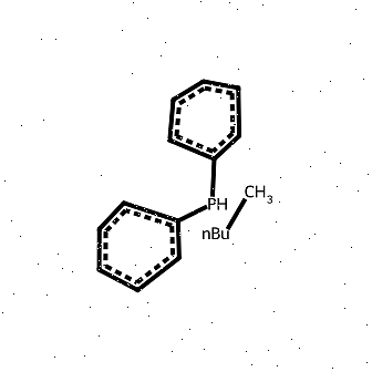 CCCCC.c1ccc(Pc2ccccc2)cc1